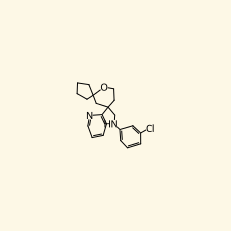 Clc1cccc(NCC2(c3ccccn3)CCOC3(CCCC3)C2)c1